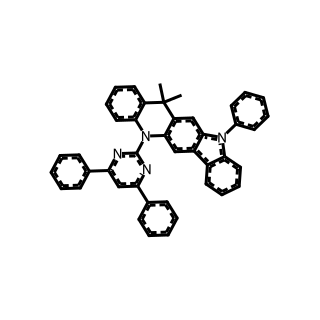 CC1(C)c2ccccc2N(c2nc(-c3ccccc3)cc(-c3ccccc3)n2)c2cc3c4ccccc4n(-c4ccccc4)c3cc21